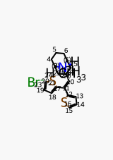 C[N+]1(C)[C@@H]2CCC[C@H]1C[C@@H](C=C(c1cccs1)c1cccs1)C2.[Br-]